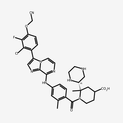 Cc1cc(Nc2nccn3c(-c4ccc(OCC#N)c(F)c4Cl)cnc23)ccc1C(=O)N1CCC(C(=O)O)CC1(C)[C@H]1CNCCN1